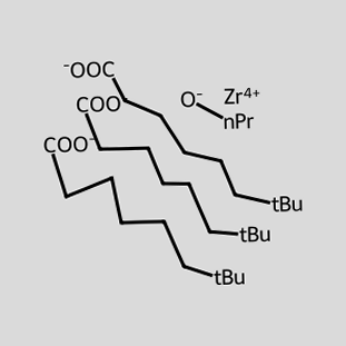 CC(C)(C)CCCCCC(=O)[O-].CC(C)(C)CCCCCC(=O)[O-].CC(C)(C)CCCCCC(=O)[O-].CCC[O-].[Zr+4]